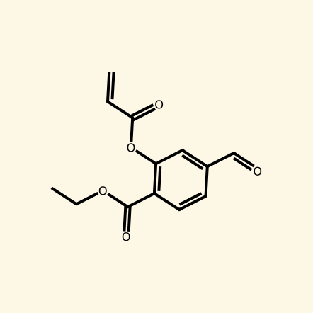 C=CC(=O)Oc1cc(C=O)ccc1C(=O)OCC